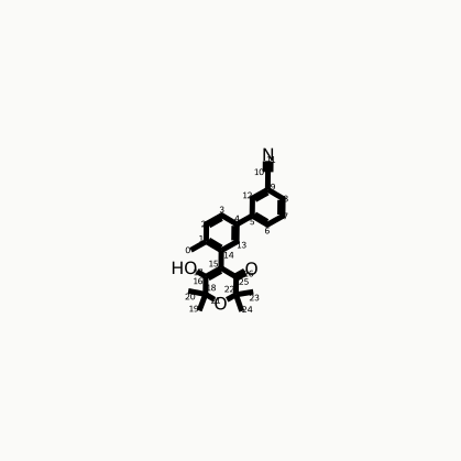 Cc1ccc(-c2cccc(C#N)c2)cc1C1=C(O)C(C)(C)OC(C)(C)C1=O